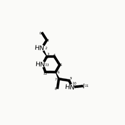 CCN[C@H]1CC[C@@H](C(C)CNI)CN1